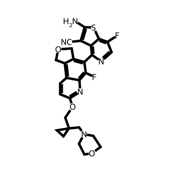 N#Cc1c(N)sc2c(F)cnc(-c3c4c(c5ccc(OCC6(CN7CCOCC7)CC6)nc5c3F)COC4)c12